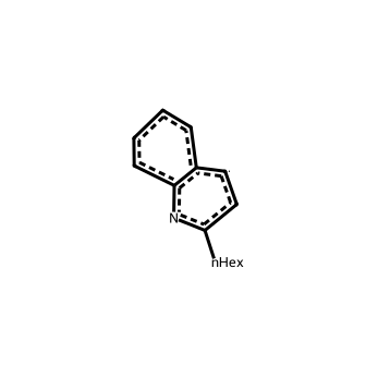 CCCCCCc1c[c]c2ccccc2n1